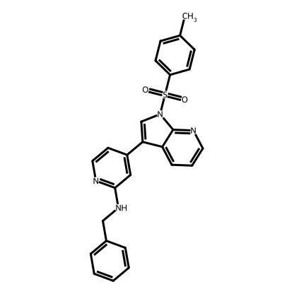 Cc1ccc(S(=O)(=O)n2cc(-c3ccnc(NCc4ccccc4)c3)c3cccnc32)cc1